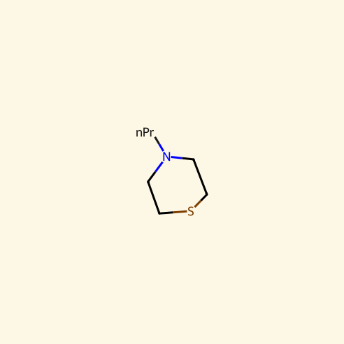 CCCN1CCSCC1